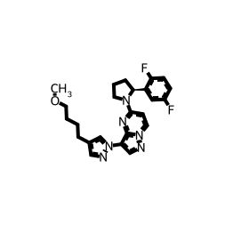 COCCCCc1cnn(-c2cnn3ccc(N4CCC[C@H]4c4cc(F)ccc4F)nc23)c1